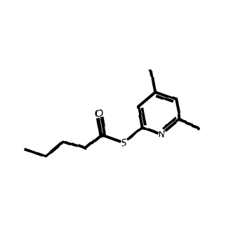 CCCCC(=O)Sc1cc(C)cc(C)n1